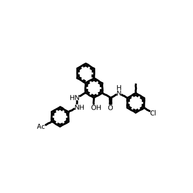 CC(=O)c1ccc(NNc2c(O)c(C(=O)Nc3ccc(Cl)cc3C)cc3ccccc23)cc1